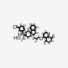 C[C@@H](COc1ccnc2c1[C@H](C)CC[C@@H]2F)C[C@H]1Cc2ccccc2C12CCC(Nc1cccc(Cl)c1)(C(=O)O)CC2